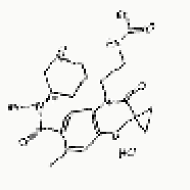 CCC(=O)NCCN1C(=O)C2(CC2)Oc2cc(C)c(C(=O)N(C(C)C)[C@@H]3CCCNC3)cc21.Cl